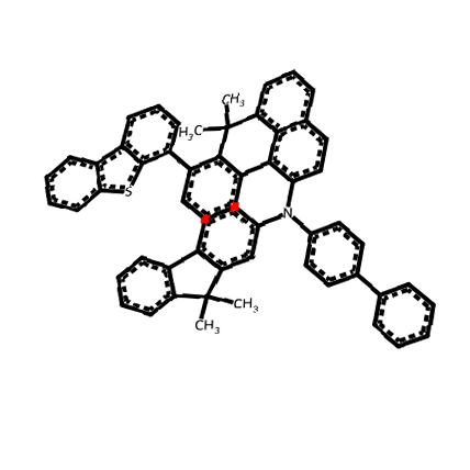 CC1(C)c2ccccc2-c2ccc(N(c3ccc(-c4ccccc4)cc3)c3ccc4cccc5c4c3-c3cccc(-c4cccc6c4sc4ccccc46)c3C5(C)C)cc21